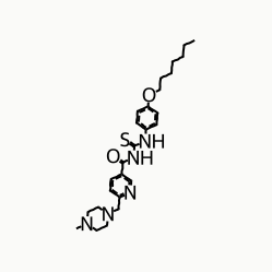 CCCCCCCOc1ccc(NC(=S)NC(=O)c2ccc(CN3CCN(C)CC3)nc2)cc1